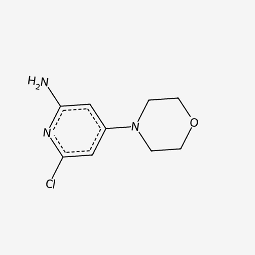 Nc1cc(N2CCOCC2)cc(Cl)n1